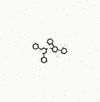 N#Cc1cccc(C#N)c1-c1ccc2c(c1)c1ccccc1n2-c1cc(-c2ccccc2)nc(-c2ccccc2)c1